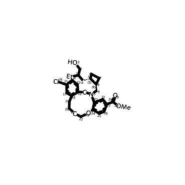 CCC(CO)C[C@@H]1CC[C@H]1CN1Cc2ccc(Cl)cc2CCCCOc2ccc(C(=O)OC)cc21